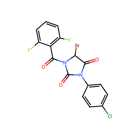 O=C1C(Br)N(C(=O)c2c(F)cccc2F)C(=O)N1c1ccc(Cl)cc1